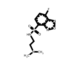 CN(C)CCNS(=O)(=O)c1ccc(F)c2nonc12